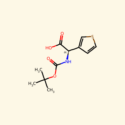 CC(C)(C)OC(=O)N[C@@H](C(=O)O)c1ccsc1